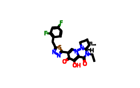 CCN1C(=O)c2c(O)c(=O)c(-c3nnc(Cc4ccc(F)cc4F)s3)cn2N2CC[C@H](C)[C@@H]12